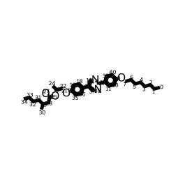 CCCCCCCCOc1ccc(-c2ncc(-c3ccc(OCC(C)OC(=O)CC(C)CCCC)cc3)cn2)cc1